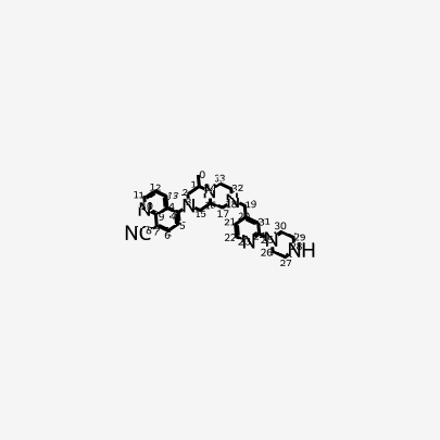 CC1CN(c2ccc(C#N)c3ncccc23)CC2CN(Cc3ccnc(N4CCNCC4)c3)CCN12